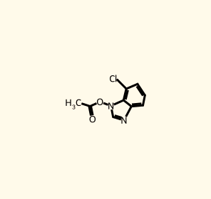 CC(=O)On1cnc2cccc(Cl)c21